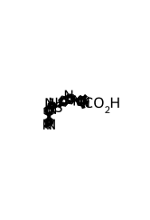 CC1CN(c2cnc3ccc(Sc4nnc5ccc(-c6cnn(C)c6)cn45)cc3c2)CC(C)N1C(=O)O